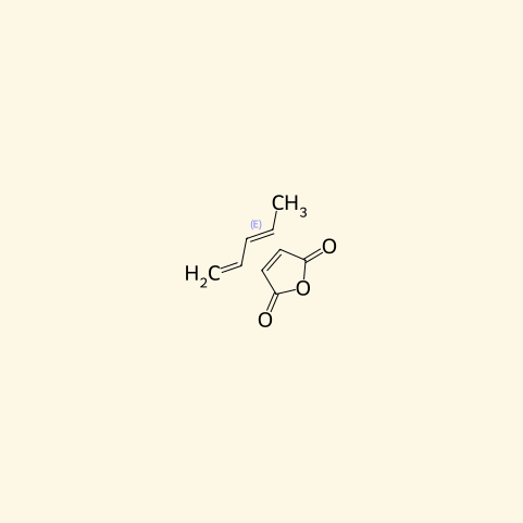 C=C/C=C/C.O=C1C=CC(=O)O1